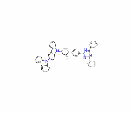 Cc1cc(-n2c3ccccc3c3cc(-n4c5ccccc5c5ccccc54)ccc32)ccc1-c1ccc(-c2nc(-c3ccccc3)nc(-c3ccccc3)n2)cc1